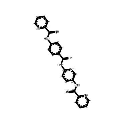 N=C(Nc1ccc(C(=O)Nc2ccc(NC(=N)c3ccccn3)cn2)cc1)c1ccccn1